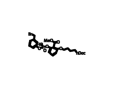 CCCCCCCCCCCCCCOc1cccc(OP(=O)(O)Oc2cccc(CBr)c2)c1C(=O)OC